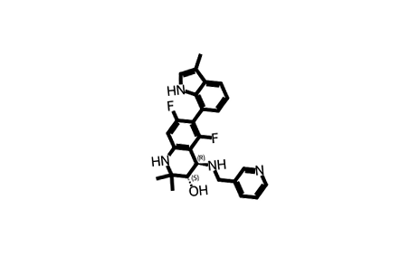 Cc1c[nH]c2c(-c3c(F)cc4c(c3F)[C@@H](NCc3cccnc3)[C@H](O)C(C)(C)N4)cccc12